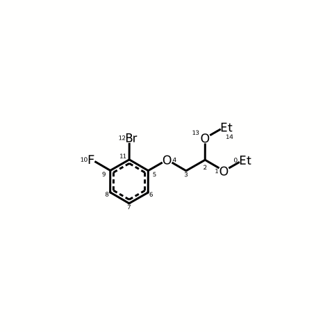 CCOC(COc1cccc(F)c1Br)OCC